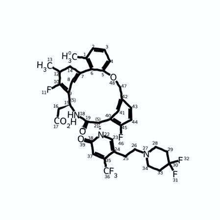 Cc1cccc2c1C1=CC(=C(F)C(C)C1)[C@H](CC(=O)O)NC(=O)[C@@H](n1cc(CCN3CCC(F)(F)CC3)c(C(F)(F)F)cc1=O)c1cc(ccc1F)CO2